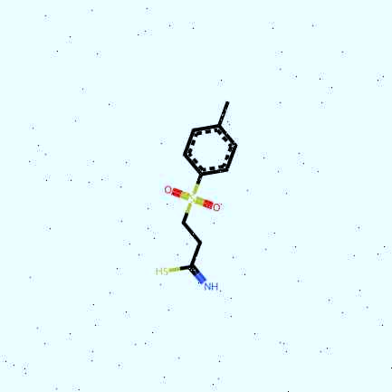 Cc1ccc(S(=O)(=O)CCC(=N)S)cc1